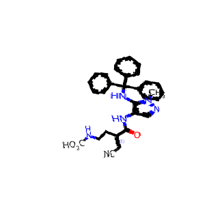 Cn1ncc(NC(=O)/C(=C/C#N)CCNC(=O)O)c1NC(c1ccccc1)(c1ccccc1)c1ccccc1